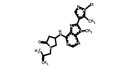 C=C(C)CN1CC(Nc2ncnc3c2nc(-c2cnn(CC)c2C)n3C)CC1=O